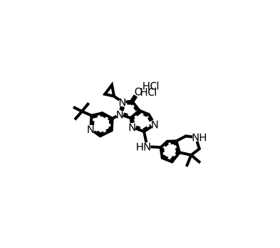 CC(C)(C)c1cc(-n2c3nc(Nc4ccc5c(c4)CNCC5(C)C)ncc3c(=O)n2C2CC2)ccn1.Cl.Cl